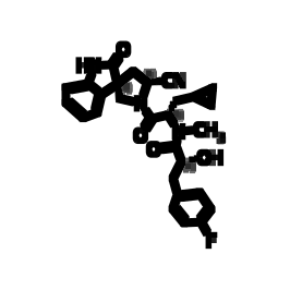 CN(C(=O)[C@H](O)Cc1ccc(F)cc1)[C@@H](CC1CC1)C(=O)N1C[C@]2(C[C@H]1C#N)C(=O)Nc1ccccc12